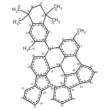 Cc1cc2c3c(c1)N(c1cc4c(cc1C)C(C)(C)CCC4(C)C)c1ccc4c(oc5ccccc54)c1B3n1c3ccccc3c3cccc-2c31